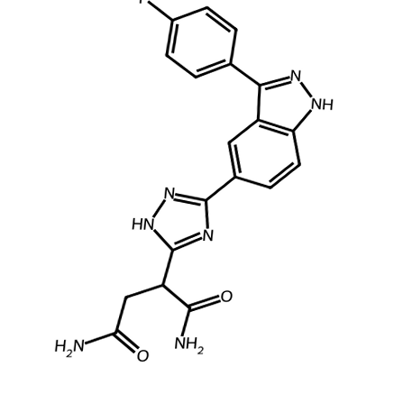 NC(=O)CC(C(N)=O)c1nc(-c2ccc3[nH]nc(-c4ccc(F)cc4)c3c2)n[nH]1